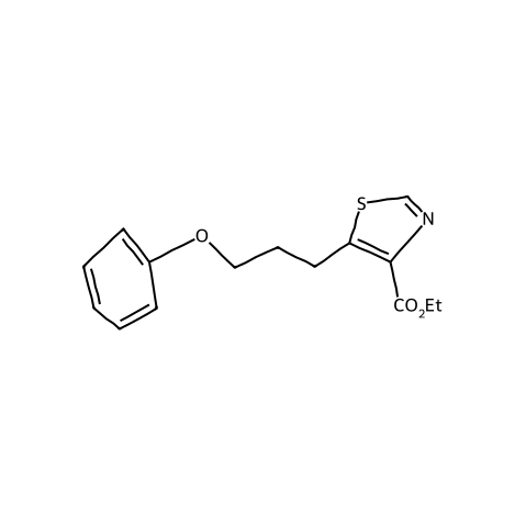 CCOC(=O)c1ncsc1CCCOc1ccccc1